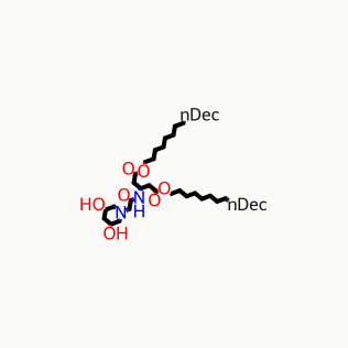 CCCCCCCCCCCCCCCCCCOC(=O)CC(CC(=O)OCCCCCCCCCCCCCCCCCC)NC(=O)CN1CC(O)CC(O)C1